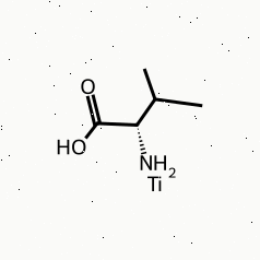 CC(C)[C@H](N)C(=O)O.[Ti]